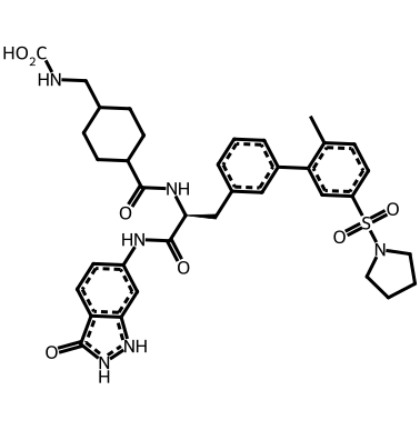 Cc1ccc(S(=O)(=O)N2CCCC2)cc1-c1cccc(C[C@H](NC(=O)C2CCC(CNC(=O)O)CC2)C(=O)Nc2ccc3c(=O)[nH][nH]c3c2)c1